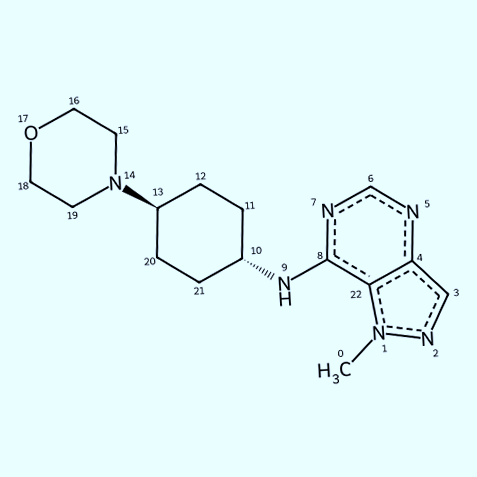 Cn1ncc2ncnc(N[C@H]3CC[C@H](N4CCOCC4)CC3)c21